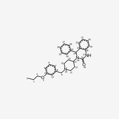 CCCOc1cccc(CN2CCC(N3C(=O)Nc4ccccc4C3c3ccccc3)CC2)c1